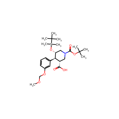 COCOc1cccc([C@@H]2[C@@H](C(=O)O)CN(C(=O)OC(C)(C)C)C[C@H]2O[Si](C)(C)C(C)(C)C)c1